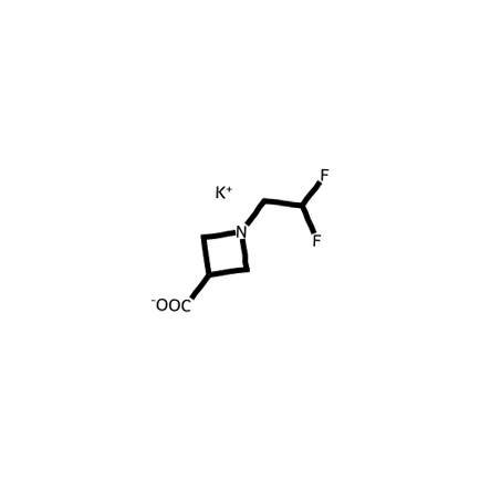 O=C([O-])C1CN(CC(F)F)C1.[K+]